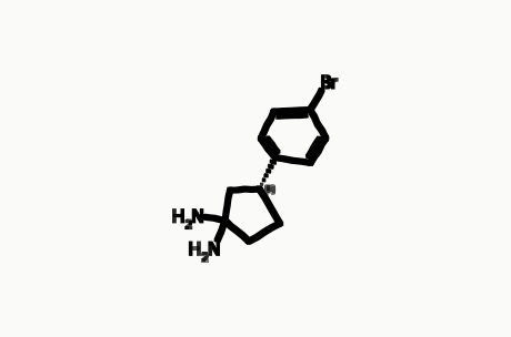 NC1(N)CC[C@@H](c2ccc(Br)cc2)C1